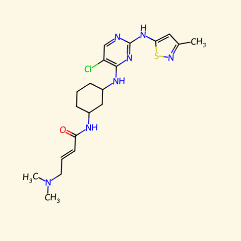 Cc1cc(Nc2ncc(Cl)c(NC3CCCC(NC(=O)C=CCN(C)C)C3)n2)sn1